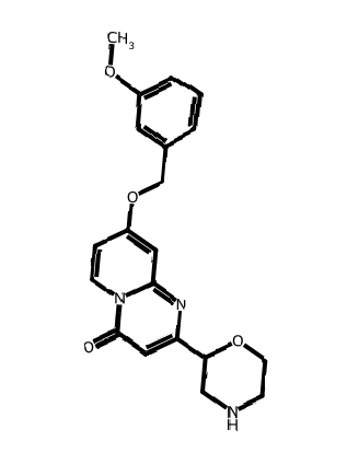 COc1cccc(COc2ccn3c(=O)cc(C4CNCCO4)nc3c2)c1